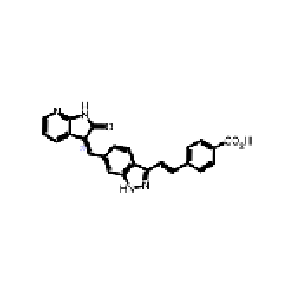 O=C1Nc2ncccc2/C1=C/c1ccc2c(C=Cc3ccc(C(=O)O)cc3)n[nH]c2c1